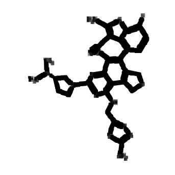 CN(C)[C@H]1CCN(c2nc(NCc3nnc(N)s3)c3c4c(c(-c5ccc(F)c6sc(N)c(C#N)c56)c(Cl)c3n2)COC4)C1